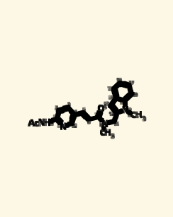 CC(=O)Nc1ccc(C=CC(=O)N(C)Cc2cc3ccccc3n2C)cn1